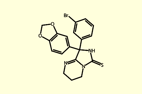 S=C1NC(c2cccc(Br)c2)(c2ccc3c(c2)OCO3)C2=NCCCN12